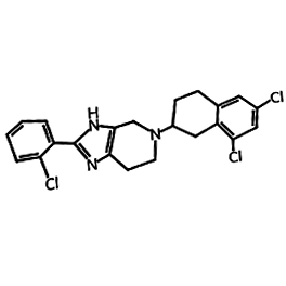 Clc1cc(Cl)c2c(c1)CCC(N1CCc3nc(-c4ccccc4Cl)[nH]c3C1)C2